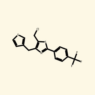 FC(F)(F)c1ccc(-c2nc(Cc3ccsc3)c(CCl)s2)cc1